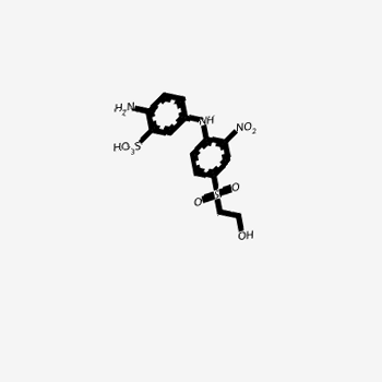 Nc1ccc(Nc2ccc(S(=O)(=O)CCO)cc2[N+](=O)[O-])cc1S(=O)(=O)O